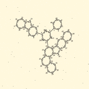 c1ccc(-c2nc(-c3ccc4c(c3)sc3ccccc34)nc(-c3cc4ccc5ccccc5c4c4sc5cc6ccccc6cc5c34)n2)cc1